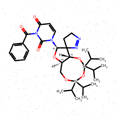 CC(C)[Si]1(C(C)C)OC[C@H]2O[C@@H](n3ccc(=O)n(C(=O)c4ccccc4)c3=O)C3(CCN=N3)[C@@H]2O[Si](C(C)C)(C(C)C)O1